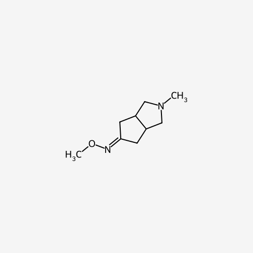 CON=C1CC2CN(C)CC2C1